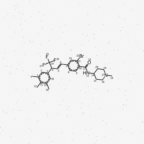 Cc1cc(C(/C=C/c2ccc(C(=O)NC3CCN(C)CC3)c(Br)c2)C(F)(F)F)cc(C)c1C